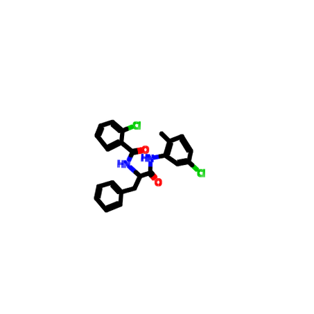 Cc1ccc(Cl)cc1NC(=O)C(Cc1ccccc1)NC(=O)c1ccccc1Cl